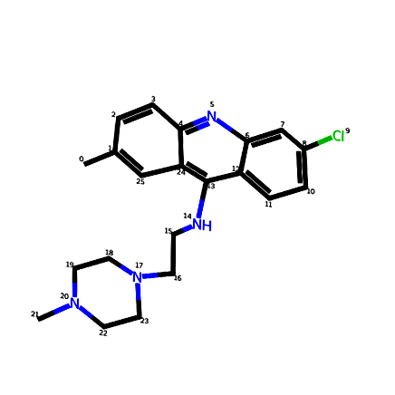 Cc1ccc2nc3cc(Cl)ccc3c(NCCN3CCN(C)CC3)c2c1